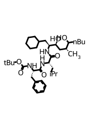 CCCCC(O)[C@H](C)C[C@H](O)[C@H](CC1CCCCC1)NC(=O)[C@H](CC(C)C)NC(=O)[C@H](Cc1ccccc1)NC(=O)OC(C)(C)C